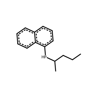 CCCC(C)Pc1cccc2ccccc12